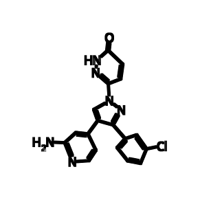 Nc1cc(-c2cn(-c3ccc(=O)[nH]n3)nc2-c2cccc(Cl)c2)ccn1